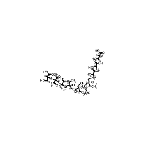 CC[N+](C)(CC)CC.CC[N+](C)(CC)CC.CC[N+](C)(CC)CC.O=C(O)C(=O)O.O=C(O)C(=O)O.O=C(O)C(=O)O.O=C(O)C(F)(F)C(=O)O.O=C(O)C(F)(F)C(=O)O.O=C(O)C(F)(F)C(=O)O.[O-]B([O-])[O-]